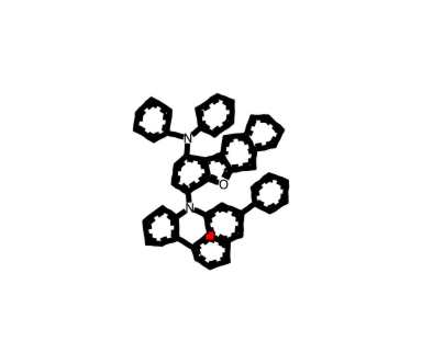 c1ccc(-c2cccc(N(c3ccccc3-c3ccccc3)c3ccc(N(c4ccccc4)c4ccccc4)c4c3oc3cc5ccccc5cc34)c2)cc1